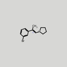 C/C(=C\N1CCCC1)c1cccc(Br)c1